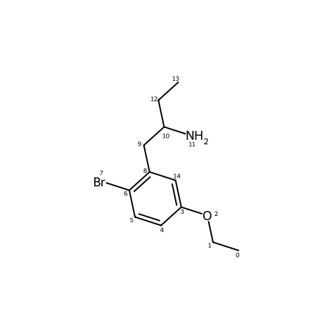 CCOc1ccc(Br)c(CC(N)CC)c1